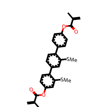 C=C(C)C(=O)Oc1ccc(-c2ccc(-c3ccc(OC(=O)C(=C)C)cc3SC)cc2SC)cc1